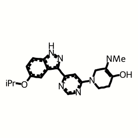 CNC1=C(O)CCN(c2cc(-c3n[nH]c4ccc(OC(C)C)cc34)ncn2)C1